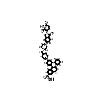 O=C1CC[C@H](N2Cc3cc(N4CCN(CC5CCN(c6ccc([C@@H]7c8ccc(B(O)O)cc8CC[C@@H]7c7ccccc7)cc6)CC5)CC4)ccc3C2=O)C(=O)N1